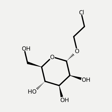 OC[C@H]1O[C@H](OCCCl)[C@@H](O)[C@@H](O)[C@@H]1O